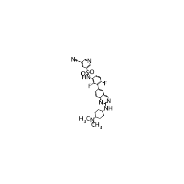 CN(C)[C@H]1CC[C@H](Nc2ncc3cc(-c4c(F)ccc(NS(=O)(=O)c5cncc(C#N)c5)c4F)ccc3n2)CC1